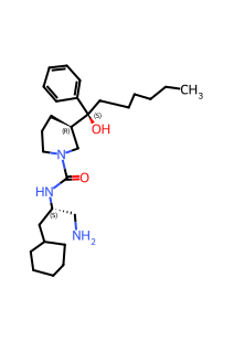 CCCCCC[C@@](O)(c1ccccc1)[C@@H]1CCCN(C(=O)N[C@H](CN)CC2CCCCC2)C1